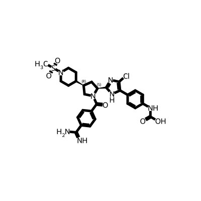 CS(=O)(=O)N1CCC([C@H]2C[C@@H](c3nc(Cl)c(-c4ccc(NC(=O)O)cc4)[nH]3)N(C(=O)c3ccc(C(=N)N)cc3)C2)CC1